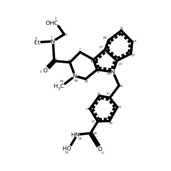 CCN(CC=O)C(=O)C1Cc2c(n(Cc3ccc(C(=O)NO)cc3)c3ccccc23)CN1C